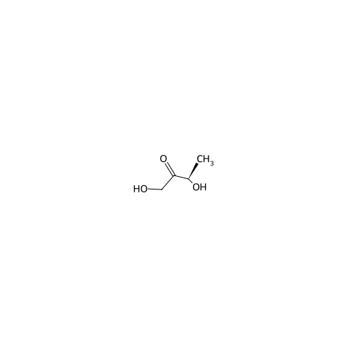 C[C@@H](O)C(=O)CO